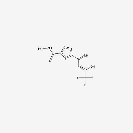 N=C(/C=C(\O)C(F)(F)F)c1ccc(C(=O)NO)s1